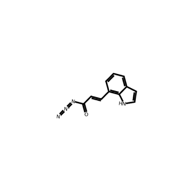 [N-]=[N+]=NC(=O)/C=C/c1cccc2cc[nH]c12